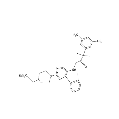 CCOC(=O)CC1CCN(c2cc(-c3ccccc3C)c(NCC(=O)C(C)(C)c3cc(C(F)(F)F)cc(C(F)(F)F)c3)cn2)CC1